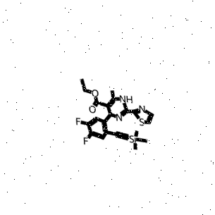 CCOC(=O)C1=C(C)NC(c2nccs2)=NC1c1cc(F)c(F)cc1C#C[Si](C)(C)C